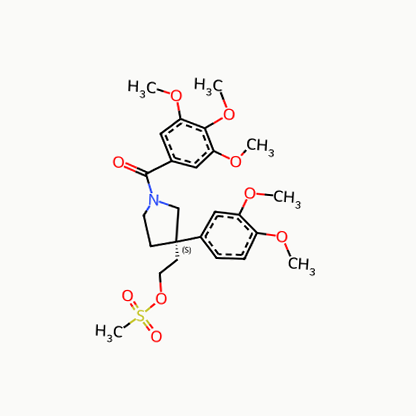 COc1ccc([C@@]2(CCOS(C)(=O)=O)CCN(C(=O)c3cc(OC)c(OC)c(OC)c3)C2)cc1OC